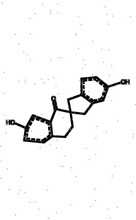 O=C1c2cc(O)ccc2CCC12Cc1ccc(O)cc1C2